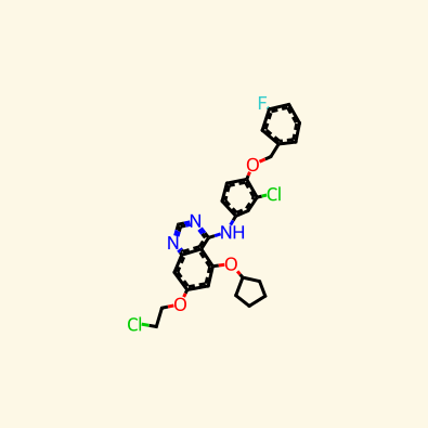 Fc1cccc(COc2ccc(Nc3ncnc4cc(OCCCl)cc(OC5CCCC5)c34)cc2Cl)c1